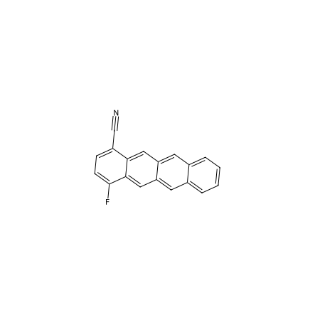 N#Cc1ccc(F)c2cc3cc4ccccc4cc3cc12